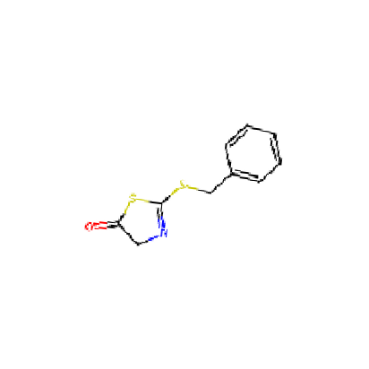 O=C1CN=C(SCc2ccccc2)S1